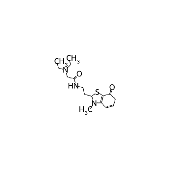 CCN(CC)CC(=O)NCCC1SC2=C(C=CCC2=O)N1C